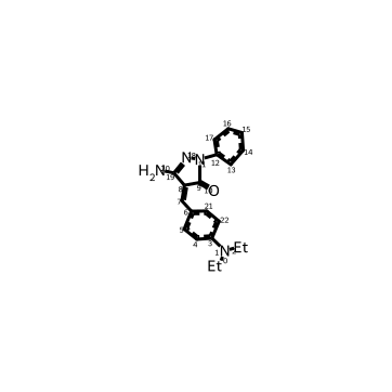 CCN(CC)c1ccc(/C=C2\C(=O)N(c3ccccc3)N=C2N)cc1